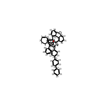 C1=CCCCC(c2nc(-c3ccc(-c4ccc(-c5ccccc5)cc4)cc3)nc(-c3cccc4oc5cccc(-c6ccc(-c7ccccc7)cc6)c5c34)n2)=C1